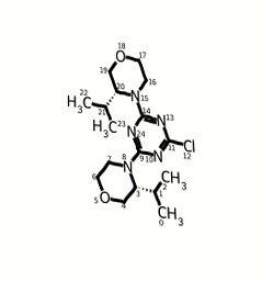 CC(C)[C@@H]1COCCN1c1nc(Cl)nc(N2CCOC[C@H]2C(C)C)n1